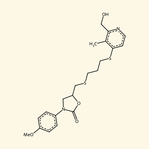 COc1ccc(N2CC(CSCCCSc3ccnc(CO)c3C)OC2=O)cc1